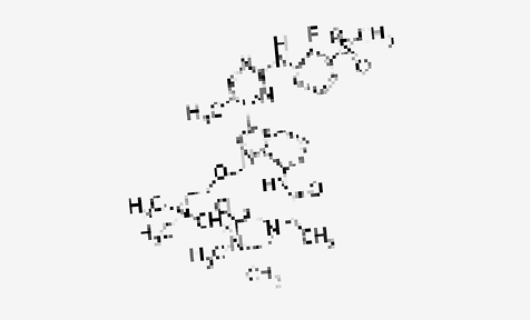 Cc1cnc(Nc2cccc(S(C)(=O)=O)c2F)nc1-c1cn(COCC[Si](C)(C)C)c2c(NC(=O)[C@@H](C)N3C[C@H](C)N(C)[C@@H](C)C3)cccc12